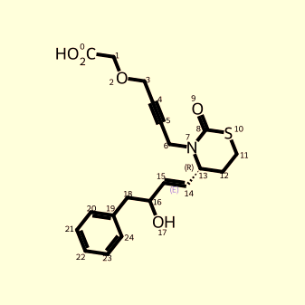 O=C(O)COCC#CCN1C(=O)SCC[C@@H]1/C=C/C(O)Cc1ccccc1